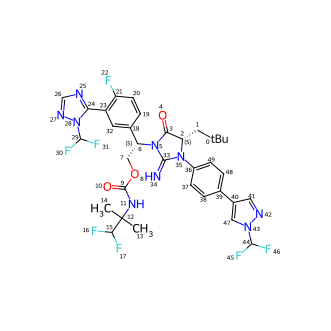 CC(C)(C)C[C@H]1C(=O)N([C@H](COC(=O)NC(C)(C)C(F)F)c2ccc(F)c(-c3ncnn3C(F)F)c2)C(=N)N1c1ccc(-c2cnn(C(F)F)c2)cc1